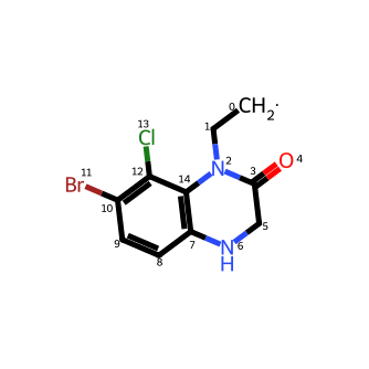 [CH2]CN1C(=O)CNc2ccc(Br)c(Cl)c21